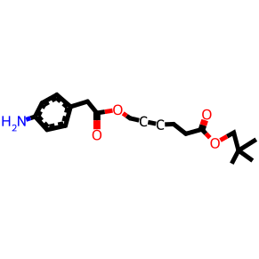 CC(C)(C)COC(=O)CCCCCOC(=O)Cc1ccc(N)cc1